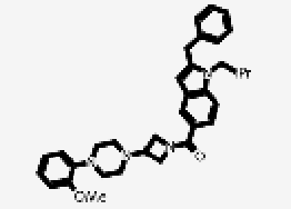 COc1ccccc1N1CCN(C2CN(C(=O)c3ccc4c(c3)cc(Cc3ccccc3)n4CC(C)C)C2)CC1